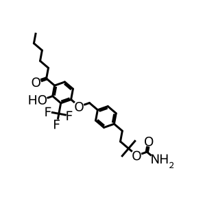 CCCCCC(=O)c1ccc(OCc2ccc(CCC(C)(C)OC(N)=O)cc2)c(C(F)(F)F)c1O